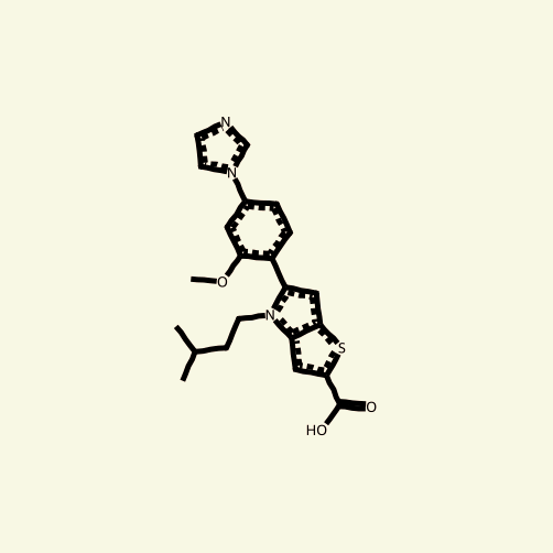 COc1cc(-n2ccnc2)ccc1-c1cc2sc(C(=O)O)cc2n1CCC(C)C